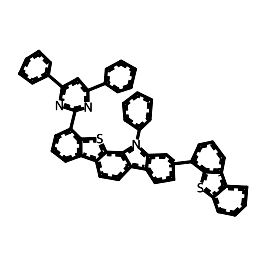 c1ccc(-c2cc(-c3ccccc3)nc(-c3cccc4c3sc3c4ccc4c5ccc(-c6cccc7c6sc6ccccc67)cc5n(-c5ccccc5)c43)n2)cc1